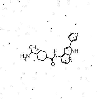 CC(N)C1CCC(C(=O)Nc2ccnc3[nH]c(-c4ccoc4)cc23)CC1